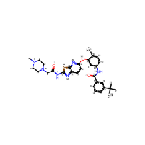 CN1CCN(CC(=O)Nc2nc3ccc(Oc4cc(NC(=O)c5cccc(C(C)(C)C#N)c5)ccc4C#N)nc3s2)CC1